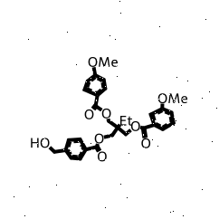 CCC(COC(=O)c1ccc(CO)cc1)(COC(=O)c1ccc(OC)cc1)COC(=O)c1cccc(OC)c1